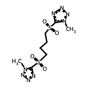 Cn1nnnc1S(=O)(=O)CCCCS(=O)(=O)c1nnnn1C